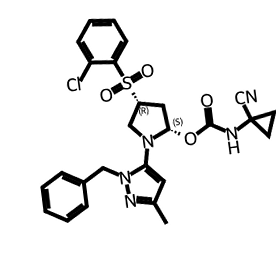 Cc1cc(N2C[C@H](S(=O)(=O)c3ccccc3Cl)C[C@@H]2OC(=O)NC2(C#N)CC2)n(Cc2ccccc2)n1